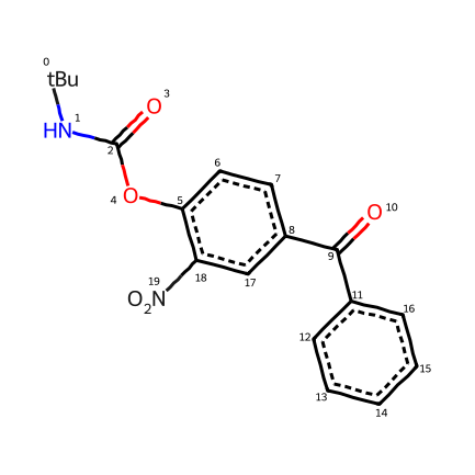 CC(C)(C)NC(=O)Oc1ccc(C(=O)c2ccccc2)cc1[N+](=O)[O-]